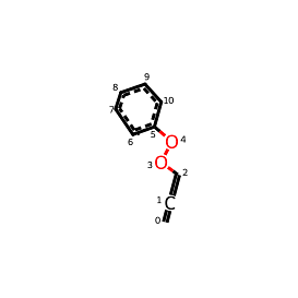 C=C=COOc1[c]cccc1